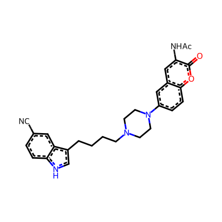 CC(=O)Nc1cc2cc(N3CCN(CCCCc4c[nH]c5ccc(C#N)cc45)CC3)ccc2oc1=O